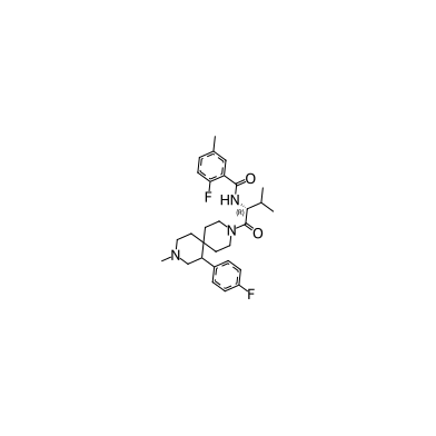 Cc1ccc(F)c(C(=O)N[C@@H](C(=O)N2CCC3(CCN(C)CC3c3ccc(F)cc3)CC2)C(C)C)c1